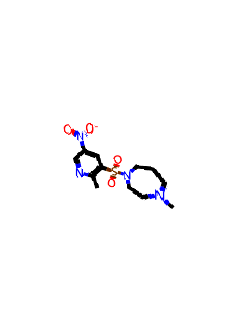 Cc1ncc([N+](=O)[O-])cc1S(=O)(=O)N1CCCN(C)CC1